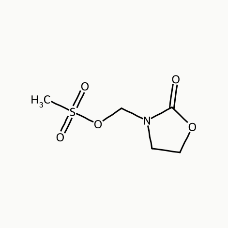 CS(=O)(=O)OCN1CCOC1=O